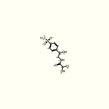 CS(=O)(=O)c1ccc([C@@H](O)CNC(=O)C(O)Cl)cc1